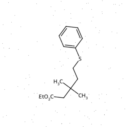 CCOC(=O)CC(C)(C)CCSc1ccccc1